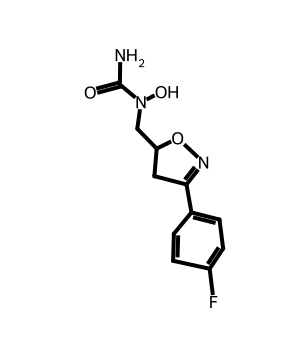 NC(=O)N(O)CC1CC(c2ccc(F)cc2)=NO1